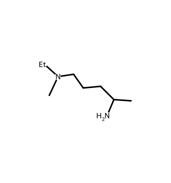 CCN(C)CCCC(C)N